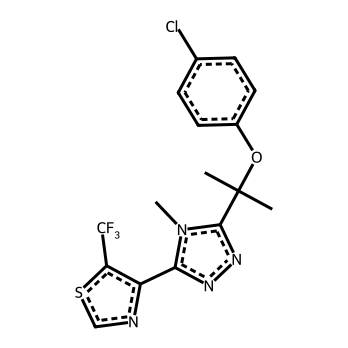 Cn1c(-c2ncsc2C(F)(F)F)nnc1C(C)(C)Oc1ccc(Cl)cc1